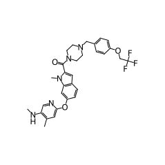 CNc1cnc(Oc2ccc3cc(C(=O)N4CCN(Cc5ccc(OCC(F)(F)F)cc5)CC4)n(C)c3c2)cc1C